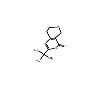 CC(C)(C)c1nc2c(c(=O)[nH]1)CSCC2